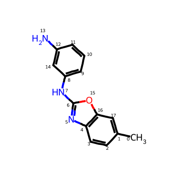 Cc1ccc2nc(Nc3cccc(N)c3)oc2c1